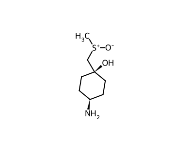 C[S+]([O-])C[C@]1(O)CC[C@@H](N)CC1